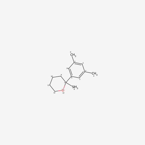 Cc1cc(C)cc(C2([SiH3])CCCCO2)c1